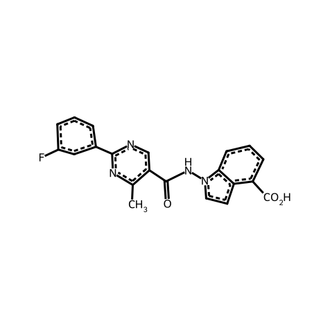 Cc1nc(-c2cccc(F)c2)ncc1C(=O)Nn1ccc2c(C(=O)O)cccc21